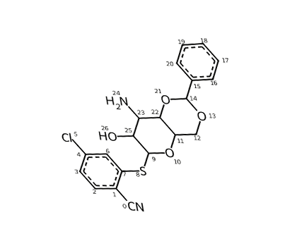 N#Cc1ccc(Cl)cc1SC1OC2COC(c3ccccc3)OC2C(N)C1O